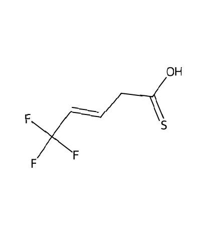 OC(=S)CC=CC(F)(F)F